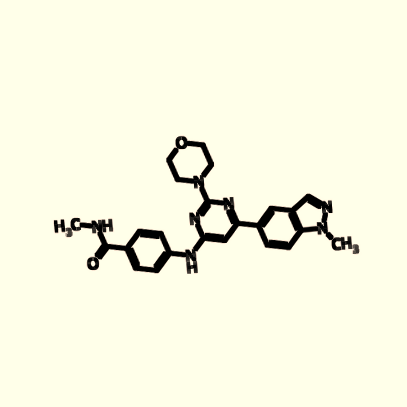 CNC(=O)c1ccc(Nc2cc(-c3ccc4c(cnn4C)c3)nc(N3CCOCC3)n2)cc1